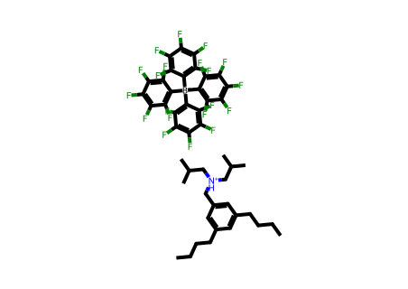 CCCCc1cc(CCCC)cc(C[NH+](CC(C)C)CC(C)C)c1.Fc1c(F)c(F)c([B-](c2c(F)c(F)c(F)c(F)c2F)(c2c(F)c(F)c(F)c(F)c2F)c2c(F)c(F)c(F)c(F)c2F)c(F)c1F